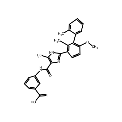 COc1ccc(-c2nc(C(=O)Nc3cccc(C(=O)O)c3)c(C)[nH]2)c(C)c1-c1ccccc1C